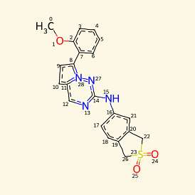 COc1ccccc1-c1ccc2cnc(Nc3ccc4c(c3)CS(=O)(=O)C4)nn12